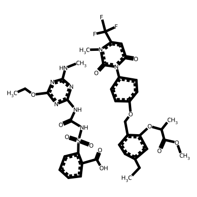 CCOc1nc(NC)nc(NC(=O)NS(=O)(=O)c2ccccc2C(=O)O)n1.CCc1ccc(COc2ccc(-n3c(=O)cc(C(F)(F)F)n(C)c3=O)cc2)c(OC(C)C(=O)OC)c1